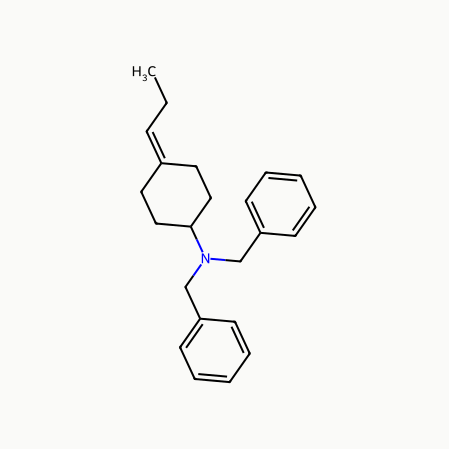 CCC=C1CCC(N(Cc2ccccc2)Cc2ccccc2)CC1